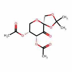 CC(=O)O[C@@H]1CO[C@]2(COC(C)(C)O2)C(=O)[C@@H]1OC(C)=O